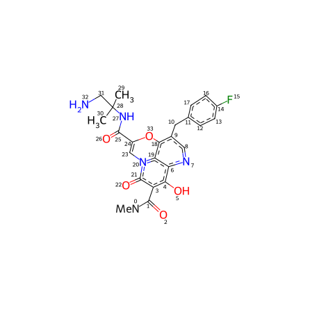 CNC(=O)c1c(O)c2ncc(Cc3ccc(F)cc3)c3c2n(c1=O)C=C(C(=O)NC(C)(C)CN)O3